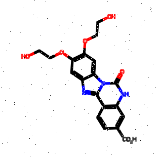 O=C(O)c1ccc2c(c1)[nH]c(=O)n1c3cc(OCCO)c(OCCO)cc3nc21